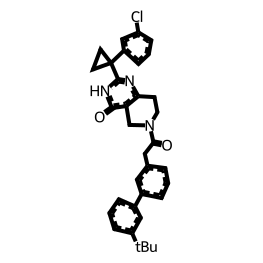 CC(C)(C)c1cccc(-c2cccc(CC(=O)N3CCc4nc(C5(c6cccc(Cl)c6)CC5)[nH]c(=O)c4C3)c2)c1